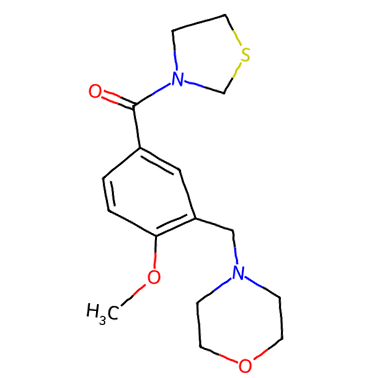 COc1ccc(C(=O)N2CCSC2)cc1CN1CCOCC1